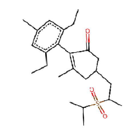 CCc1cc(C)cc(CC)c1C1=C(C)CC(CC(C)S(=O)(=O)C(C)C)CC1=O